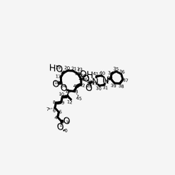 COC(=O)CC[C@H](C)/C=C/C=C(\C)[C@H]1OC(=O)C[C@H](O)CC[C@@](C)(O)[C@@H](OC(=O)N2CCN(C3CCCCCC3)CC2)/C=C/[C@@H]1C